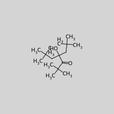 CC(C)(C)CC(O)(CC(C)(C)C)C(=O)C(C)(C)C